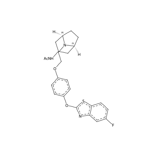 CC(=O)NC1C[C@H]2CC[C@@H](C1)N2CCOc1ccc(Oc2nc3cc(F)ccc3s2)cc1